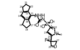 Cn1nc(S(=O)(=O)NC(=O)Nc2c3c(cc4c2CCC4)CCC3)cc1C1(F)COC1